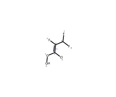 OO/C(Cl)=C(\F)C(F)F